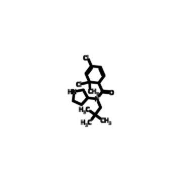 CC(C)(C)CN(C(=O)C1C=CC(Cl)=CC1(C)Cl)C1CCNC1